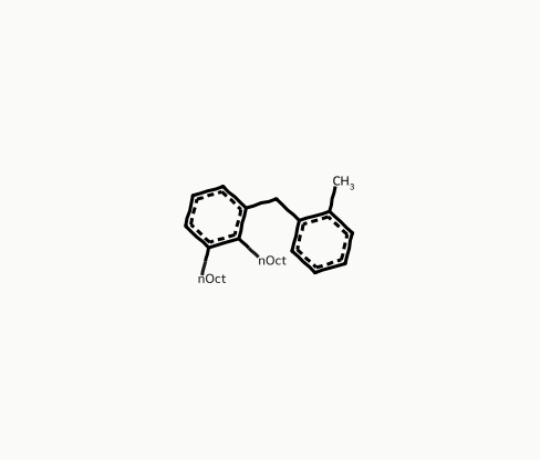 CCCCCCCCc1cccc(Cc2ccccc2C)c1CCCCCCCC